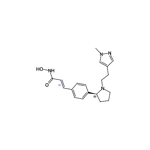 Cn1cc(CCN2CCC[C@H]2c2ccc(/C=C/C(=O)NO)cc2)cn1